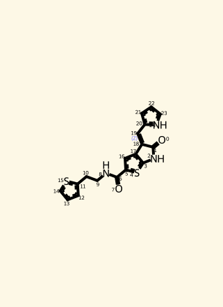 O=C1Nc2sc(C(=O)NCCc3cccs3)cc2/C1=C/c1ccc[nH]1